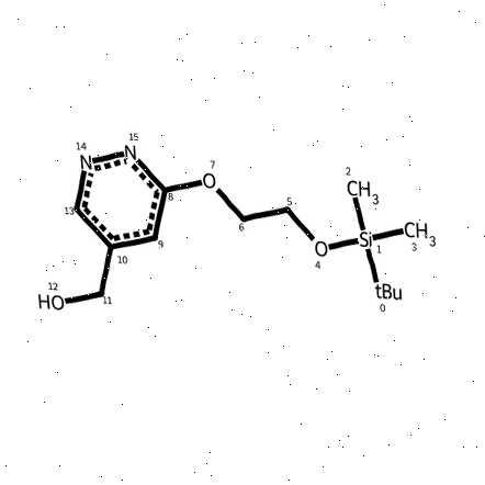 CC(C)(C)[Si](C)(C)OCCOc1cc(CO)cnn1